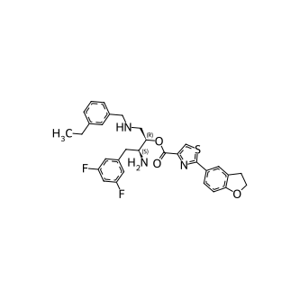 CCc1cccc(CNC[C@@H](OC(=O)c2csc(-c3ccc4c(c3)CCO4)n2)[C@@H](N)Cc2cc(F)cc(F)c2)c1